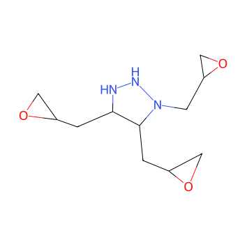 C1OC1CC1NNN(CC2CO2)C1CC1CO1